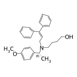 COc1ccc([C@@H](C)N(CC=C(c2ccccc2)c2ccccc2)CCCCO)cc1